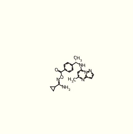 Cc1cc(N[C@@H](C)c2ccc(C(=O)O/N=C(\N)C3CC3)cc2)n2nccc2n1